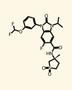 CC(C)n1c(=O)n(-c2cccc(OC(F)F)c2)c2cc(F)c(C(=O)N[C@]3(C)CCS(=O)(=O)C3)cc21